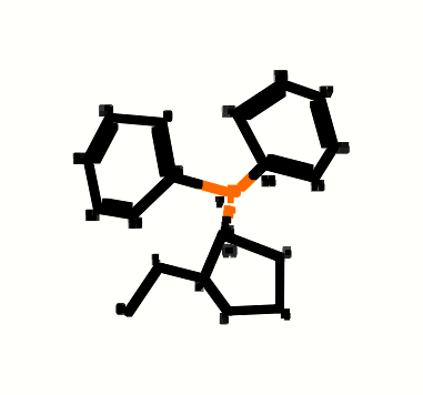 CCC1CCC[C@H]1P(c1ccccc1)c1ccccc1